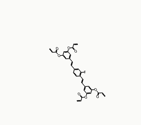 C=CC(=O)Oc1cc(/C=C/c2ccc(/C=C/c3cc(OC(=O)C=C)cc(OC(=O)C=C)c3)c(F)c2)cc(OC(=O)C=C)c1